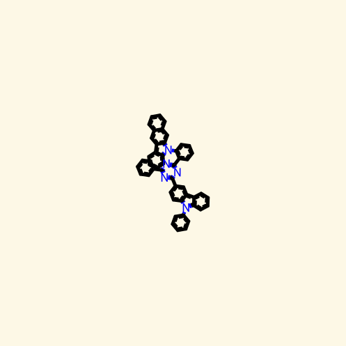 c1ccc(-c2nc(-c3ccc4c(c3)c3ccccc3n4-c3ccccc3)nc(-c3ccccc3-n3c4ccccc4c4cc5ccccc5cc43)n2)cc1